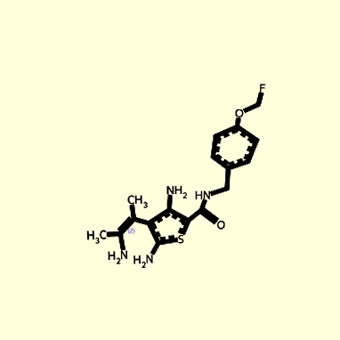 C/C(N)=C(\C)c1c(N)sc(C(=O)NCc2ccc(OCF)cc2)c1N